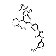 CC(C)S(=O)(=O)C1(c2cc(N3CCOC[C@@H]3C)nc(-c3ccc(NC(=O)Nc4cnn(C)c4)cc3)n2)CC1